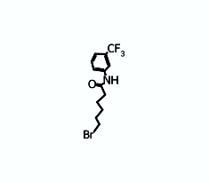 O=C(CCCCCBr)Nc1cccc(C(F)(F)F)c1